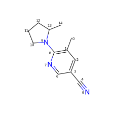 Cc1cc(C#N)cnc1N1CCCC1C